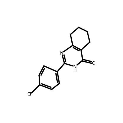 O=c1[nH]c(-c2ccc(Cl)cc2)nc2c1CCCC2